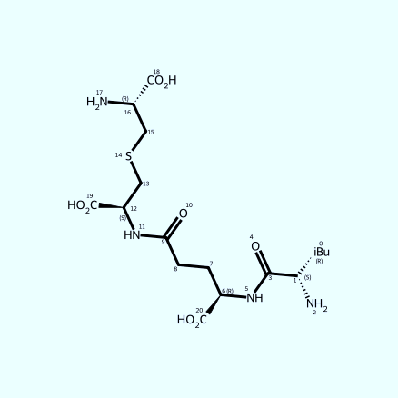 CC[C@@H](C)[C@H](N)C(=O)N[C@H](CCC(=O)N[C@H](CSC[C@H](N)C(=O)O)C(=O)O)C(=O)O